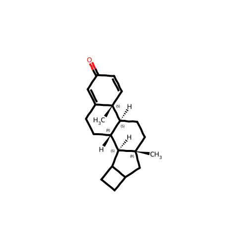 C[C@]12CC[C@H]3[C@@H](CCC4=CC(=O)C=C[C@@]43C)[C@@H]1C1CCC1C2